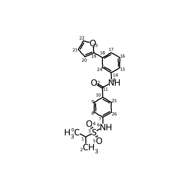 CC(C)S(=O)(=O)Nc1ccc(C(=O)Nc2cccc(-c3ccco3)c2)cc1